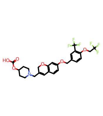 O=C(O)OC1CCN(CC2=Cc3ccc(OCc4ccc(OCC(F)(F)F)c(C(F)(F)F)c4)cc3OC2)CC1